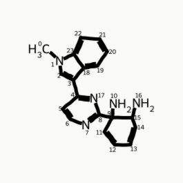 Cn1cc(-c2ccnc(C3(N)C=CC=CC3N)n2)c2ccccc21